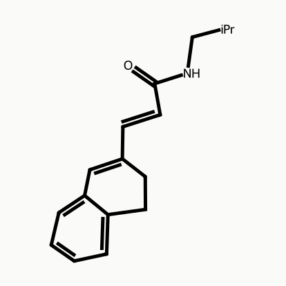 CC(C)CNC(=O)C=CC1=Cc2ccccc2CC1